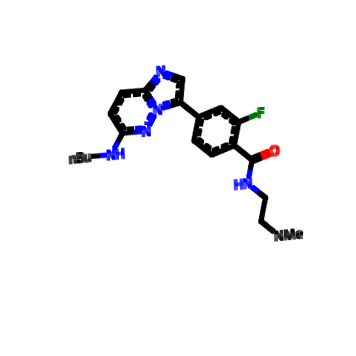 CCCCNc1ccc2ncc(-c3ccc(C(=O)NCCNC)c(F)c3)n2n1